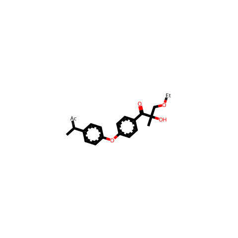 CCOCC(C)(O)C(=O)c1ccc(Oc2ccc(C(C)C(C)=O)cc2)cc1